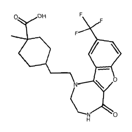 CC1(C(=O)O)CCC(CCN2CCNC(=O)c3oc4ccc(C(F)(F)F)cc4c32)CC1